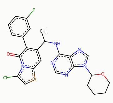 CC(Nc1ncnc2c1ncn2C1CCCCO1)c1cc2scc(Cl)n2c(=O)c1-c1cccc(F)c1